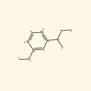 CCC(C)c1cc(OC)ncn1